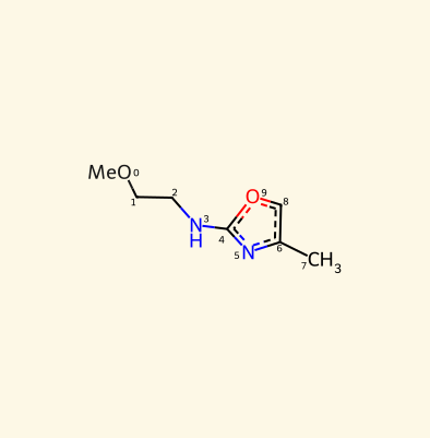 COCCNc1nc(C)co1